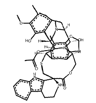 COc1c(C)cc2c(c1O)[C@H]1[C@@H]3[C@@H]4SC[C@]5(NCCc6c5[nH]c5ccccc65)C(=O)OC[C@@H](c5c6c(c(C)c(OC(C)=O)c54)OCO6)N3[C@@H](O)[C@H](C2)N1C